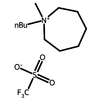 CCCC[N+]1(C)CCCCCC1.O=S(=O)([O-])C(F)(F)F